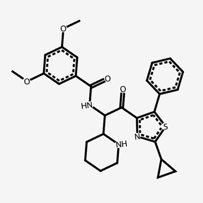 COc1cc(OC)cc(C(=O)NC(C(=O)c2nc(C3CC3)sc2-c2ccccc2)C2CCCCN2)c1